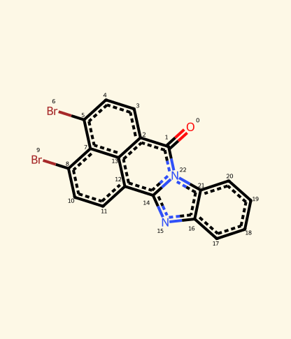 O=c1c2ccc(Br)c3c(Br)ccc(c32)c2nc3ccccc3n12